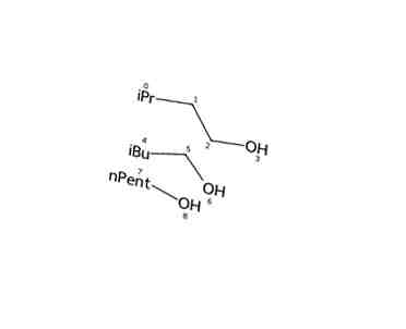 CC(C)CCO.CCC(C)CO.CCCCCO